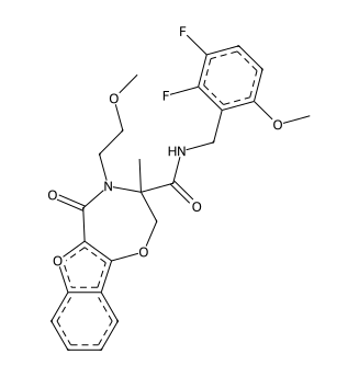 COCCN1C(=O)c2oc3ccccc3c2OCC1(C)C(=O)NCc1c(OC)ccc(F)c1F